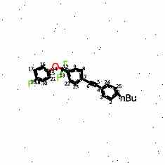 CCCCc1ccc(C#Cc2ccc(C(F)(F)Oc3ccc(F)cc3)cc2)cc1